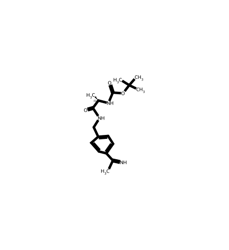 CC(=N)c1ccc(CNC(=O)[C@H](C)NC(=O)OC(C)(C)C)cc1